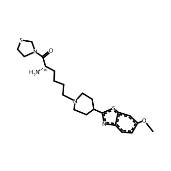 COc1ccc2nc(C3CCN(CCCC[C@H](N)C(=O)N4CCSC4)CC3)sc2c1